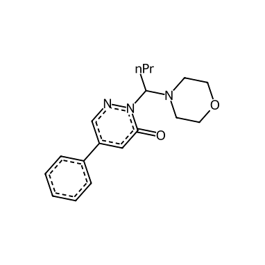 CCCC(N1CCOCC1)n1ncc(-c2ccccc2)cc1=O